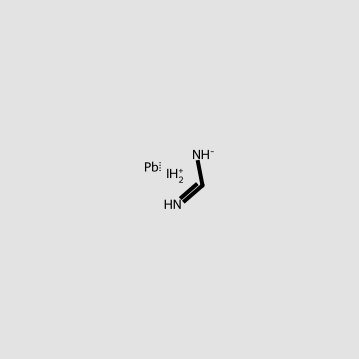 N=C[NH-].[IH2+].[Pb]